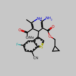 COC(=O)C1=C(C)NC(N)=C(C(=O)OCC2CC2)C1c1csc2c(C#N)cc(F)cc12